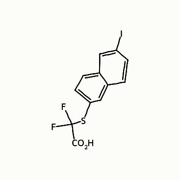 O=C(O)C(F)(F)Sc1ccc2cc(I)ccc2c1